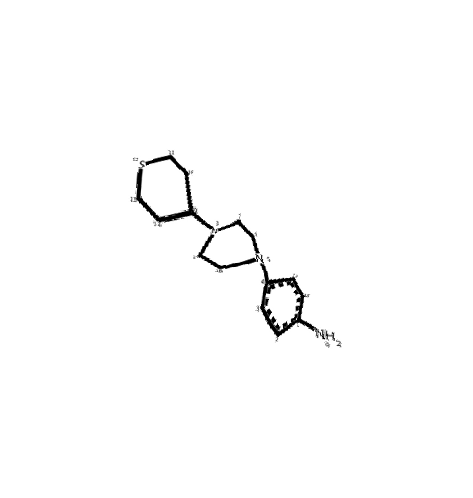 Nc1ccc(N2CCN(C3CCSCC3)CC2)cc1